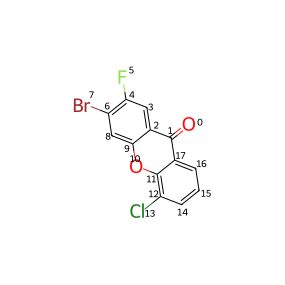 O=c1c2cc(F)c(Br)cc2oc2c(Cl)cccc12